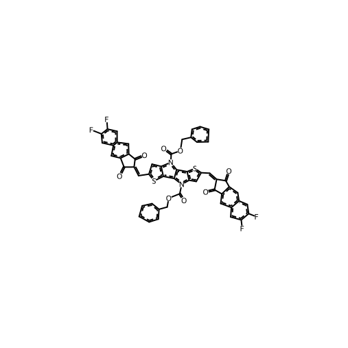 O=C1C(=Cc2cc3c(s2)c2c(c4sc(C=C5C(=O)c6cc7cc(F)c(F)cc7cc6C5=O)cc4n2C(=O)OCc2ccccc2)n3C(=O)OCc2ccccc2)C(=O)c2cc3cc(F)c(F)cc3cc21